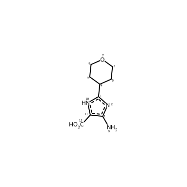 Nc1nc(C2CCOCC2)[nH]c1C(=O)O